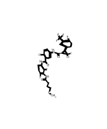 CSCCCC(=O)Nc1c(F)ccc(NC(=O)c2cc(NC(=O)[C@H]3C(c4ccc(F)c(C(F)(F)F)c4)C3(Cl)Cl)ccc2Cl)c1F